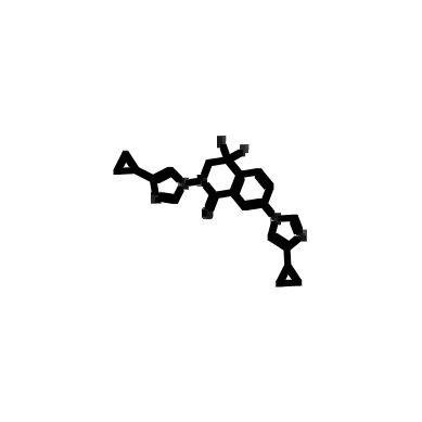 O=C1c2cc(-n3cnc(C4CC4)c3)ccc2C(F)(F)CN1n1cnc(C2CC2)c1